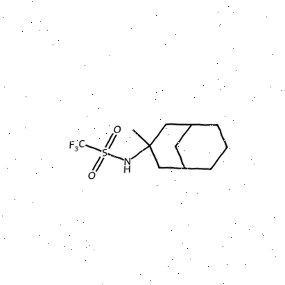 CC1(NS(=O)(=O)C(F)(F)F)CC2CCCC(C2)C1